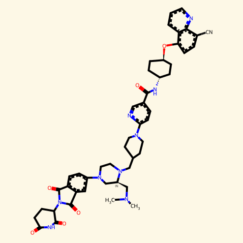 CN(C)C[C@H]1CN(c2ccc3c(c2)C(=O)N(C2CCC(=O)NC2=O)C3=O)CCN1CC1CCN(c2ccc(C(=O)N[C@H]3CC[C@H](Oc4ccc(C#N)c5ncccc45)CC3)cn2)CC1